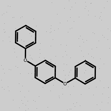 [c]1cccc(Oc2ccc(Oc3ccccc3)cc2)c1